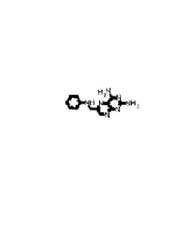 Nc1nc(N)c2nc(CNc3ccccc3)cnc2n1